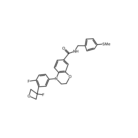 CSc1ccc(CNC(=O)c2ccc3c(c2)OCCN3c2ccc(F)c(C3(F)COC3)c2)cc1